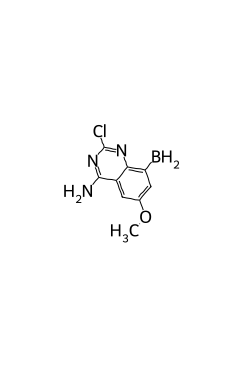 Bc1cc(OC)cc2c(N)nc(Cl)nc12